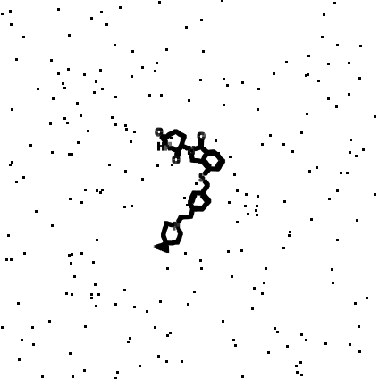 O=C1CCC(N2Cc3c(SCc4ccc(CCN5CCC6(CC5)CC6)cc4)cccc3C2=O)C(=O)N1